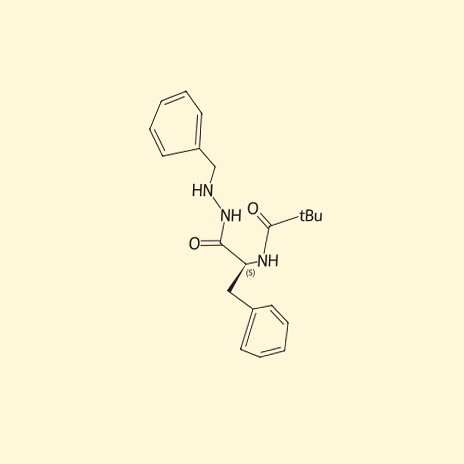 CC(C)(C)C(=O)N[C@@H](Cc1ccccc1)C(=O)NNCc1ccccc1